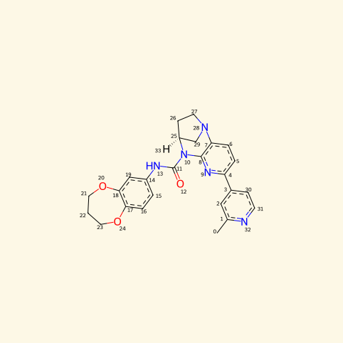 Cc1cc(-c2ccc3c(n2)N(C(=O)Nc2ccc4c(c2)OCCCO4)[C@H]2CCN3C2)ccn1